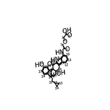 O=C(O)COCC(=O)Nc1cccc2c3c([nH]c12)[C@@H]1Oc2c(O)ccc4c2C12CCN(CC1CC1)C(C4)[C@]2(O)C3